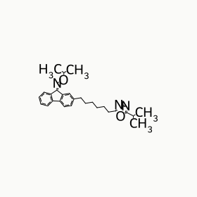 CC(C)O/N=C1/c2ccccc2-c2ccc(CCCCCCc3nnc(C(C)C)o3)cc21